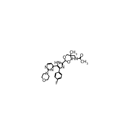 CC(=O)NCC1(C)COC(c2nc(-c3ccc(F)cc3)c(-c3ccnc(N4CCOCC4)n3)[nH]2)OC1